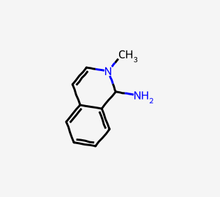 CN1C=Cc2ccccc2C1N